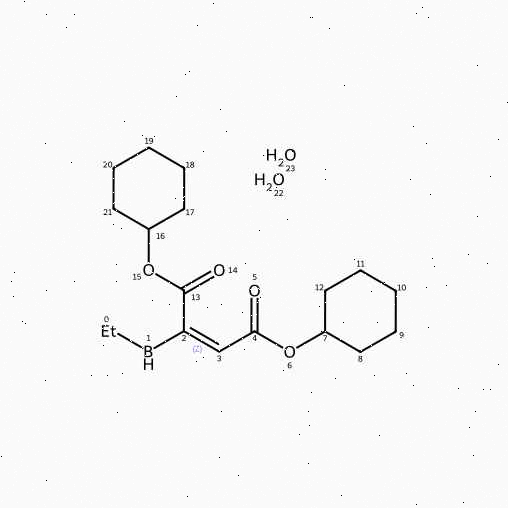 CCB/C(=C/C(=O)OC1CCCCC1)C(=O)OC1CCCCC1.O.O